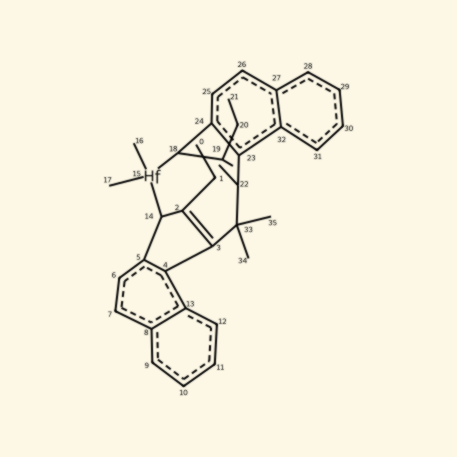 CCC1=C2c3c(ccc4ccccc34)[CH]1[Hf]([CH3])([CH3])[CH]1C(CC)=C(c3c1ccc1ccccc31)C2(C)C